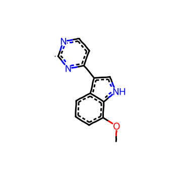 COc1cccc2c(-c3ccn[c]n3)c[nH]c12